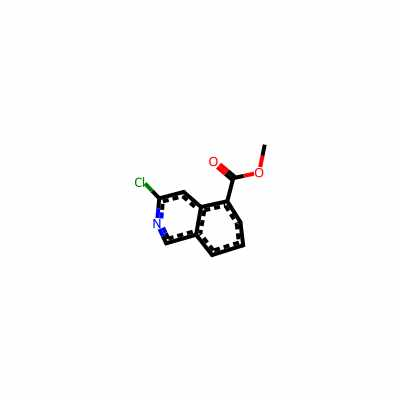 COC(=O)c1cccc2cnc(Cl)cc12